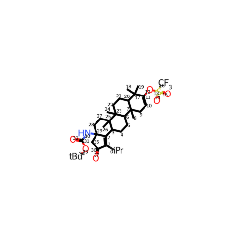 CC(C)C1=C2C3CCC4C5(C)CC=C(OS(=O)(=O)C(F)(F)F)C(C)(C)C5CCC4(C)C3(C)CCC2(NC(=O)OC(C)(C)C)CC1=O